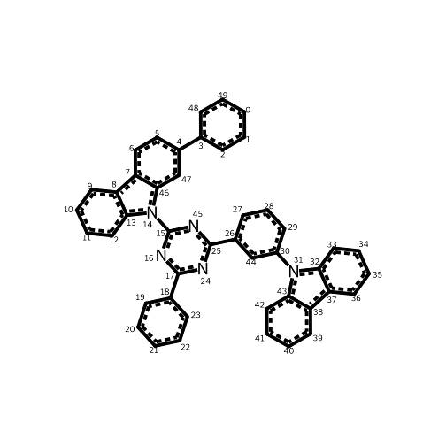 c1ccc(-c2ccc3c4ccccc4n(-c4nc(-c5ccccc5)nc(-c5cccc(-n6c7ccccc7c7ccccc76)c5)n4)c3c2)cc1